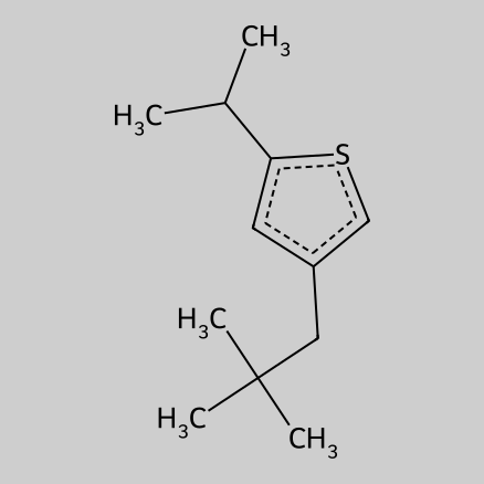 CC(C)c1cc(CC(C)(C)C)cs1